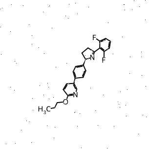 CCCOc1ccc(-c2ccc([C@H]3CCC(c4c(F)cccc4F)=N3)cc2)cn1